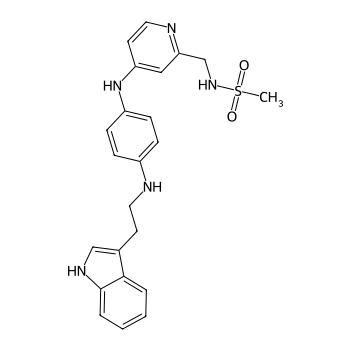 CS(=O)(=O)NCc1cc(Nc2ccc(NCCc3c[nH]c4ccccc34)cc2)ccn1